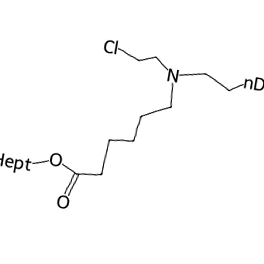 CCCCCCCCCCCCN(CCCl)CCCCCC(=O)OCCCCCCC